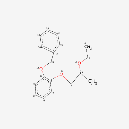 CCOC(C)COc1ccccc1OCc1ccccc1